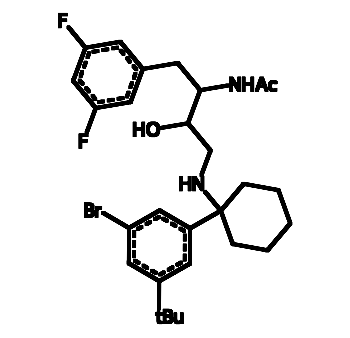 CC(=O)NC(Cc1cc(F)cc(F)c1)C(O)CNC1(c2cc(Br)cc(C(C)(C)C)c2)CCCCC1